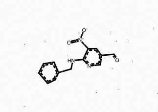 O=Cc1cnc(NCc2ccccc2)c([N+](=O)[O-])c1